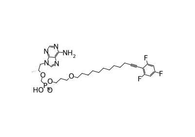 C[C@H](Cn1cnc2c(N)ncnc21)OCP(=O)(O)OCCCOCCCCCCCCCCC#Cc1c(F)cc(F)cc1F